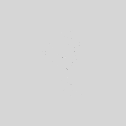 c1ccc(-c2ccc3c4cc(-c5cccc(-c6cocn6)c5)ccc4c4ccc(-c5cccc(-c6cocn6)c5)cc4c3c2)cc1